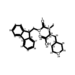 CN(C(=O)OCC1c2ccccc2-c2ccccc21)[C@@H](CC1CCOCC1)C(=O)O